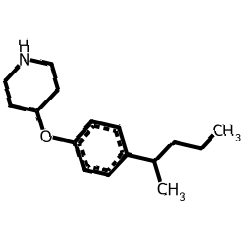 CCCC(C)c1ccc(OC2CCNCC2)cc1